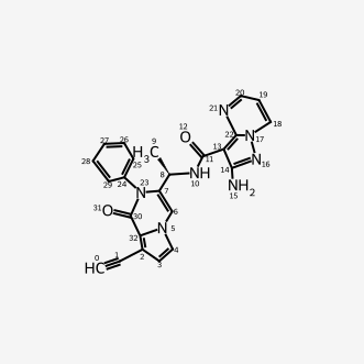 C#Cc1ccn2cc([C@@H](C)NC(=O)c3c(N)nn4cccnc34)n(-c3ccccc3)c(=O)c12